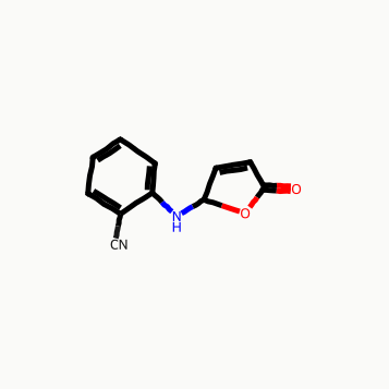 N#Cc1ccccc1NC1C=CC(=O)O1